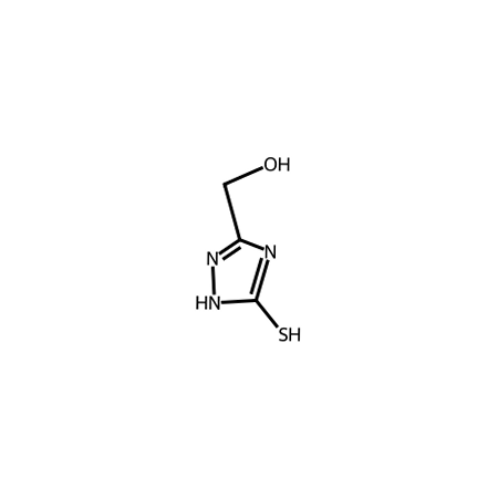 OCc1n[nH]c(S)n1